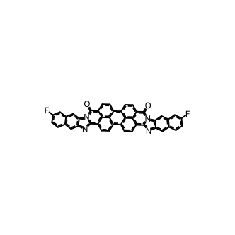 O=c1c2ccc3c4ccc5c(=O)n6c7cc8cc(F)ccc8cc7nc6c6ccc(c7ccc(c2c37)c2nc3cc7ccc(F)cc7cc3n12)c4c56